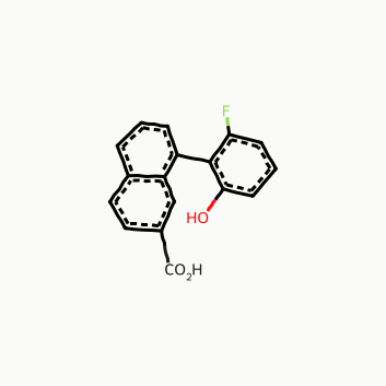 O=C(O)c1ccc2cccc(-c3c(O)cccc3F)c2c1